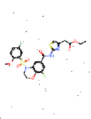 CCOC(=O)Cc1csc(NC(=O)c2cc(F)c3c(c2)N(S(=O)(=O)c2cc(Cl)ccc2OC)CCO3)n1